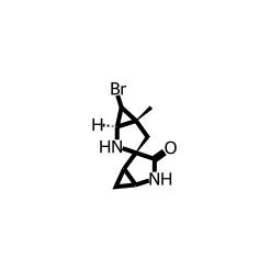 C[C@@]12C[C@@]3(N[C@H]1C2Br)C(=O)NC1CC13